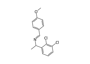 COc1ccc(C=NC(C)c2cccc(Cl)c2Cl)cc1